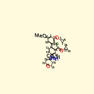 COc1cc(OC2CC2)c(F)c(-c2ccc(NC3(C(=O)O)CCOCC3)cc2COC2CC2)c1